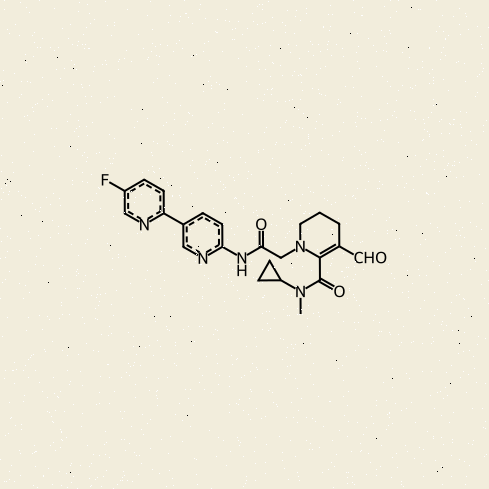 CN(C(=O)C1=C(C=O)CCCN1CC(=O)Nc1ccc(-c2ccc(F)cn2)cn1)C1CC1